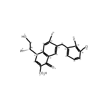 CC(C)[C@H](CO)n1cc(C(=O)O)c(=O)c2cc(Cc3cccc(Cl)c3F)c(F)cc21